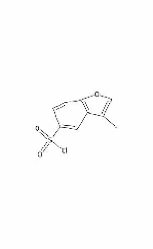 Cc1coc2ccc(S(=O)(=O)Cl)cc12